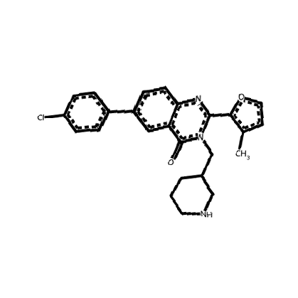 Cc1ccoc1-c1nc2ccc(-c3ccc(Cl)cc3)cc2c(=O)n1CC1CCCNC1